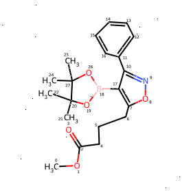 COC(=O)CCCc1onc(-c2ccccc2)c1B1OC(C)(C)C(C)(C)O1